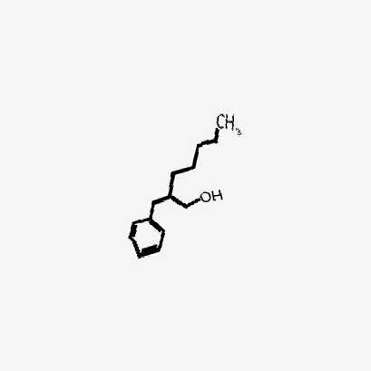 CCCCCC(CO)Cc1ccccc1